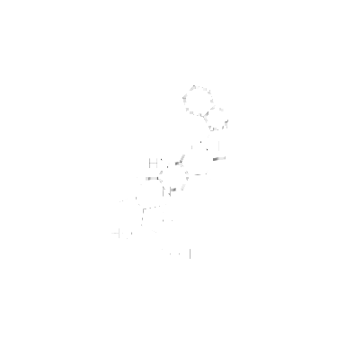 CO[C@@H]1[C@@H](O)[C@@H](CO)O[C@H]1n1cc(C(C)C(=O)Nc2csc3ccccc23)c(=O)[nH]c1=O